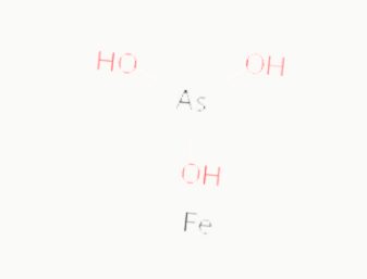 O[As](O)O.[Fe]